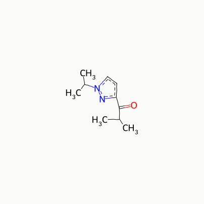 CC(C)C(=O)c1ccn(C(C)C)n1